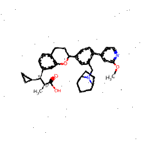 COc1cc(-c2ccc(C3CCc4ccc([C@H](C5CC5)[C@H](C)C(=O)O)cc4O3)cc2CN2C3CCCC2CC3)ccn1